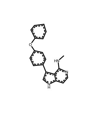 CNc1nccc2[nH]cc(-c3ccc(Oc4ccccc4)cc3)c12